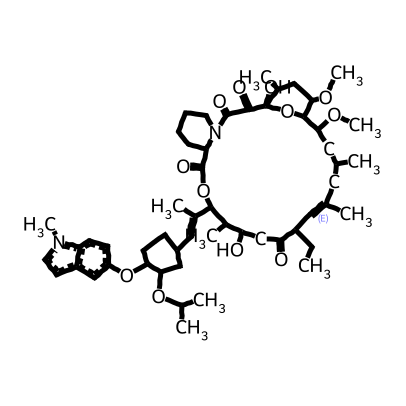 CCC1/C=C(\C)CC(C)CC(OC)C2OC(O)(C(=O)C(=O)N3CCCCC3C(=O)OC(C(C)=CC3CCC(Oc4ccc5c(ccn5C)c4)C(OC(C)C)C3)C(C)C(O)CC1=O)C(C)CC2OC